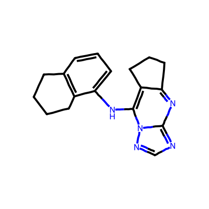 c1cc2c(c(Nc3c4c(nc5ncnn35)CCC4)c1)CCCC2